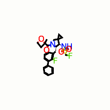 CC1(C(=O)N2CC3(CC3)[C@H](NS(=O)(=O)CF)[C@@H]2Cc2cccc(-c3ccccc3)c2F)CCO1